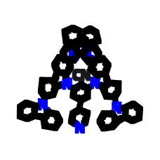 N#Cc1c(-n2c3cc(-n4c5ccccc5c5ccccc54)ccc3c3ccc(-n4c5ccccc5c5ccccc54)cc32)cc(-c2ccncc2)cc1-n1c2cc(-n3c4ccccc4c4ccccc43)ccc2c2ccc(-n3c4ccccc4c4ccccc43)cc21